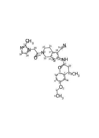 CCOc1cccc(C(C)CC(=O)Nc2sc3c(c2C#N)CCN(C(=O)Cn2ccnc2C)C3)c1